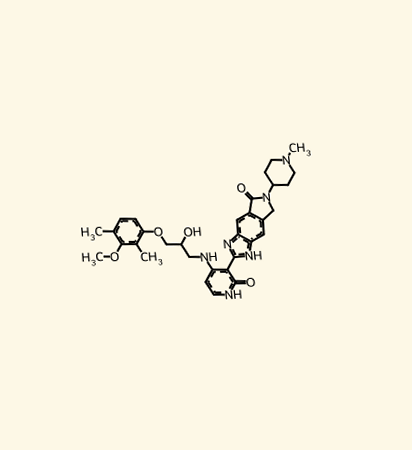 COc1c(C)ccc(OCC(O)CNc2cc[nH]c(=O)c2-c2nc3cc4c(cc3[nH]2)CN(C2CCN(C)CC2)C4=O)c1C